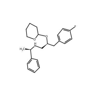 C[C@@H](NC[C@H](Cc1ccc(F)cc1)OC1CCCCO1)c1ccccc1